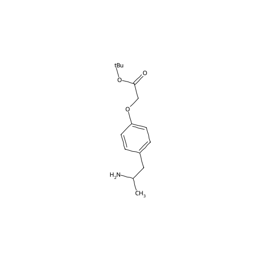 CC(N)Cc1ccc(OCC(=O)OC(C)(C)C)cc1